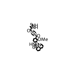 COc1cc(NS(=O)(=O)c2cccc3cccnc23)ccc1C(=O)N1CCN(C(=O)C2=CSNN2)CC1